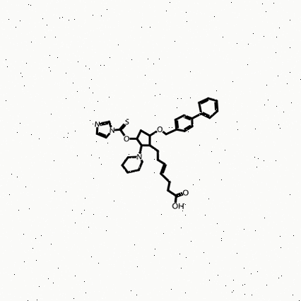 O=C(O)CC/C=C/CCC1C(OCc2ccc(-c3ccccc3)cc2)CC(OC(=S)n2ccnc2)C1N1CCCCC1